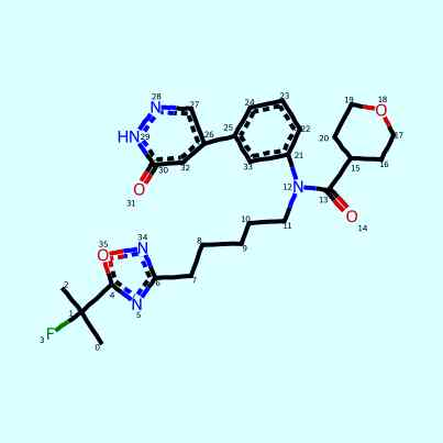 CC(C)(F)c1nc(CCCCCN(C(=O)C2CCOCC2)c2cccc(-c3cn[nH]c(=O)c3)c2)no1